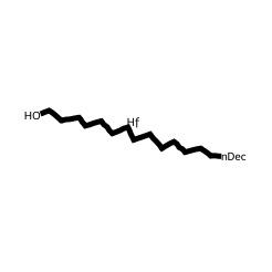 CCCCCCCCCCCCCCCCCCCCCCCCO.[Hf]